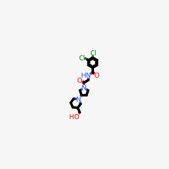 O=C(NCC(=O)N1CCC(N2CCCC(CO)C2)C1)c1ccc(Cl)c(Cl)c1